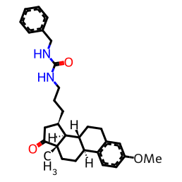 COc1ccc2c(c1)CC[C@H]1[C@@H]3[C@H](CCCNC(=O)NCc4ccccc4)CC(=O)[C@@]3(C)CC[C@H]21